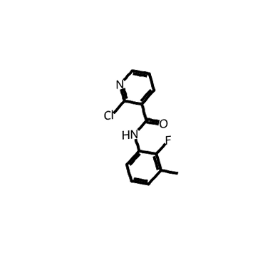 Cc1cccc(NC(=O)c2cccnc2Cl)c1F